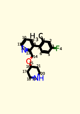 Cc1cc(F)ccc1-c1cccnc1COC1CCNCC1